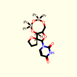 CC(C)[Si]1(C(C)C)OCC2OC(n3ccc(=O)[nH]c3=O)[C@@]3(CCCO3)[C@@H]2O[Si](C(C)C)(C(C)C)O1